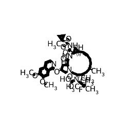 COc1cc2ccnc(O[C@@H]3C[C@H]4C(=O)N[C@]5(C(=O)NS(=O)(=O)C6(C)CC6)C[C@H]5C=CCC[C@@H](C)C[C@@H](C)[C@H](N(C(=O)O)C(C)(C)C(C)(F)F)C(=O)N4C3)c2cc1OC